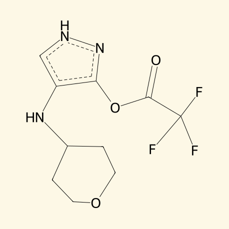 O=C(Oc1n[nH]cc1NC1CCOCC1)C(F)(F)F